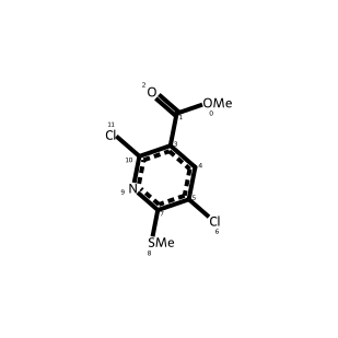 COC(=O)c1cc(Cl)c(SC)nc1Cl